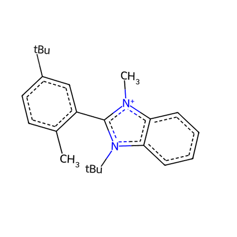 Cc1ccc(C(C)(C)C)cc1-c1n(C(C)(C)C)c2ccccc2[n+]1C